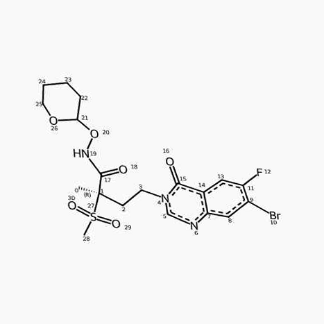 C[C@@](CCn1cnc2cc(Br)c(F)cc2c1=O)(C(=O)NOC1CCCCO1)S(C)(=O)=O